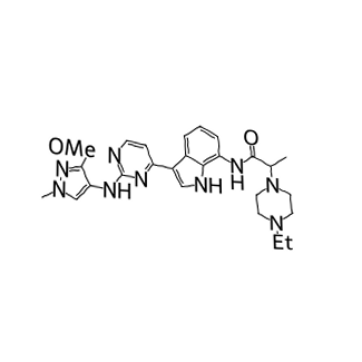 CCN1CCN(C(C)C(=O)Nc2cccc3c(-c4ccnc(Nc5cn(C)nc5OC)n4)c[nH]c23)CC1